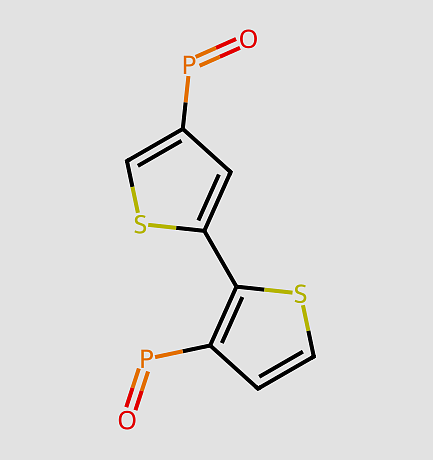 O=Pc1csc(-c2sccc2P=O)c1